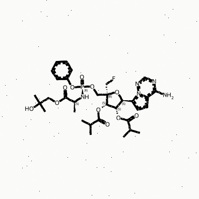 CC(C)C(=O)O[C@H]1[C@H](c2ccc3c(N)ncnn23)O[C@](CF)(CO[P@](=O)(N[C@@H](C)C(=O)OCC(C)(C)O)Oc2ccccc2)[C@H]1OC(=O)C(C)C